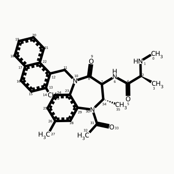 CN[C@@H](C)C(=O)NC1C(=O)N(Cc2c(C)ccc3ccccc23)c2ccc(C)cc2N(C(C)=O)[C@H]1C